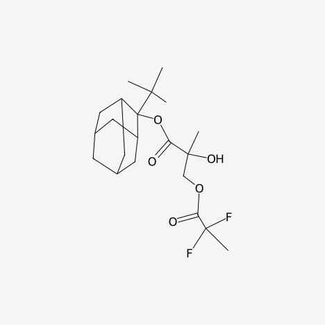 CC(F)(F)C(=O)OCC(C)(O)C(=O)OC1(C(C)(C)C)C2CC3CC(C2)CC1C3